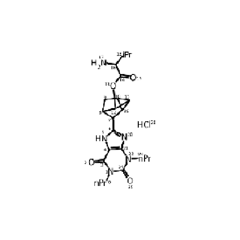 CCCn1c(=O)c2[nH]c(C3C4CC5C(C4OC(=O)C(N)C(C)C)C53)nc2n(CCC)c1=O.Cl